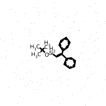 CC(C)(C)O[SiH2]C=C(c1ccccc1)c1ccccc1